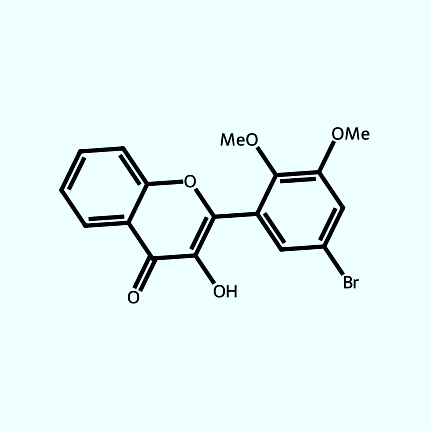 COc1cc(Br)cc(-c2oc3ccccc3c(=O)c2O)c1OC